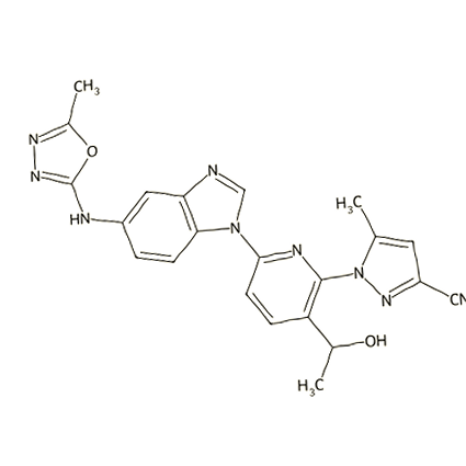 Cc1nnc(Nc2ccc3c(c2)ncn3-c2ccc(C(C)O)c(-n3nc(C#N)cc3C)n2)o1